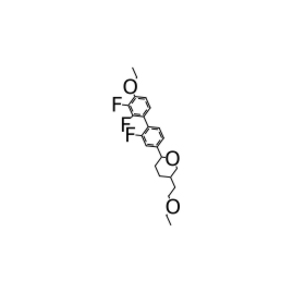 CCOCCC1CCC(c2ccc(-c3ccc(OCC)c(F)c3F)c(F)c2)OC1